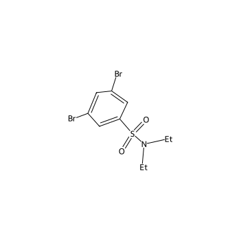 CCN(CC)S(=O)(=O)c1cc(Br)cc(Br)c1